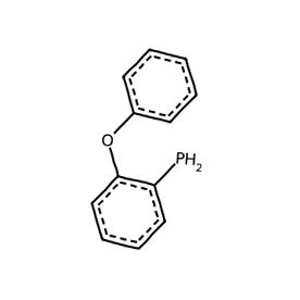 Pc1ccccc1Oc1ccccc1